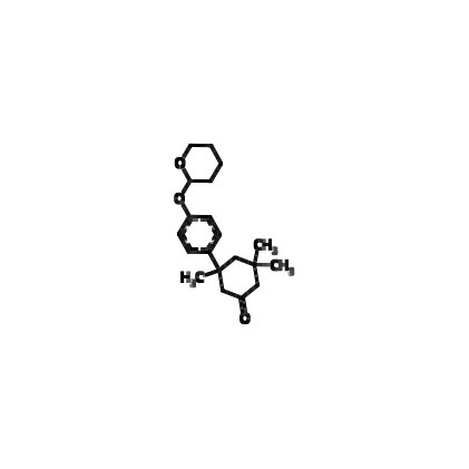 CC1(C)CC(=O)CC(C)(c2ccc(OC3CCCCO3)cc2)C1